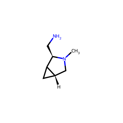 CN1C[C@@H]2CC2[C@H]1CN